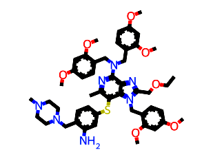 CCOCc1nc2c(N(Cc3ccc(OC)cc3OC)Cc3ccc(OC)cc3OC)nc(C)c(Sc3ccc(CN4CCN(C)CC4)c(N)c3)c2n1Cc1ccc(OC)cc1OC